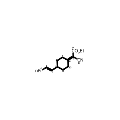 CCC/C=C/C1CCC(=C(C#N)C(=O)OCC)CC1